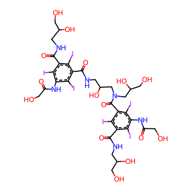 O=C(CO)Nc1c(I)c(C(=O)NCC(O)CO)c(I)c(C(=O)NCC(O)CN(CC(O)CO)C(=O)c2c(I)c(NC(=O)CO)c(I)c(C(=O)NCC(O)CO)c2I)c1I